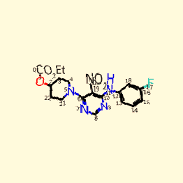 CCOC(=O)OC1CCN(c2ncnc(Nc3cccc(F)c3)c2[N+](=O)[O-])CC1